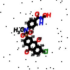 CN(c1ccc(C(=O)NO)cc1)S(=O)(=O)c1ccc2c(c1)C(=O)c1cc(Cl)ccc1C2=O